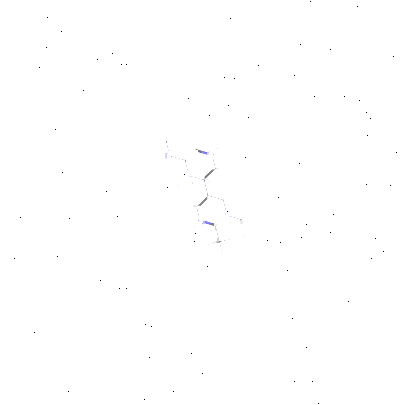 CNC1C=NC=C(C2=CN=C(C(F)(F)F)N(C)C2)N1C